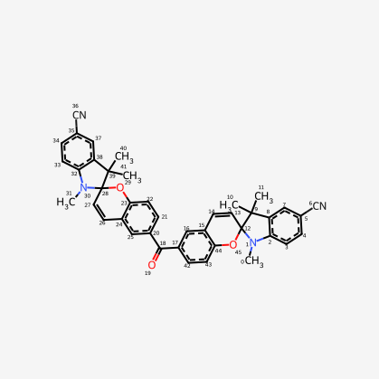 CN1c2ccc(C#N)cc2C(C)(C)C12C=Cc1cc(C(=O)c3ccc4c(c3)C=CC3(O4)N(C)c4ccc(C#N)cc4C3(C)C)ccc1O2